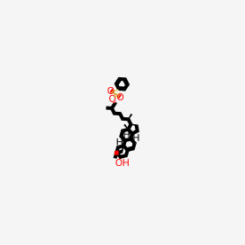 CCC[C@]12CC[C@H](O)CC1=CC[C@@H]1[C@@H]2CC[C@]2(C)[C@@H]([C@H](C)CCCC(C)COS(=O)(=O)c3ccccc3)CC[C@@H]12